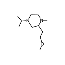 COCCC1CN(C(C)C)CCN1C